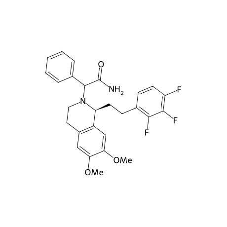 COc1cc2c(cc1OC)[C@H](CCc1ccc(F)c(F)c1F)N(C(C(N)=O)c1ccccc1)CC2